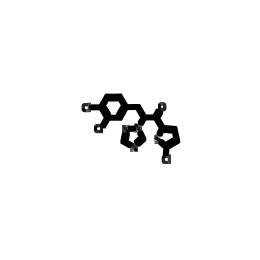 O=C(c1ccc(Cl)s1)C(Cc1ccc(Cl)c(Cl)c1)n1cncn1